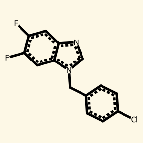 Fc1cc2ncn(Cc3ccc(Cl)cc3)c2cc1F